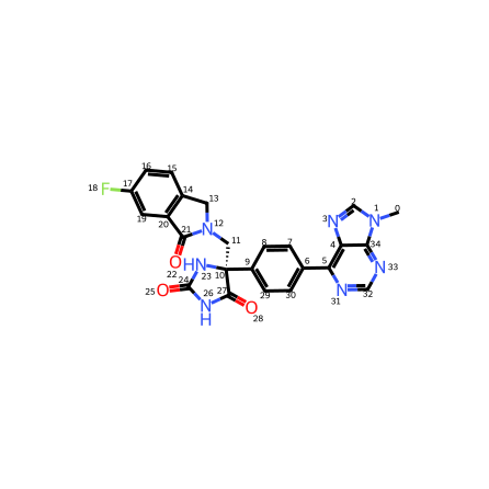 Cn1cnc2c(-c3ccc([C@]4(CN5Cc6ccc(F)cc6C5=O)NC(=O)NC4=O)cc3)ncnc21